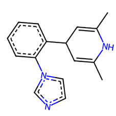 CC1=CC(c2ccccc2-n2ccnc2)C=C(C)N1